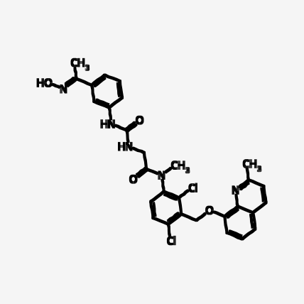 CC(=NO)c1cccc(NC(=O)NCC(=O)N(C)c2ccc(Cl)c(COc3cccc4ccc(C)nc34)c2Cl)c1